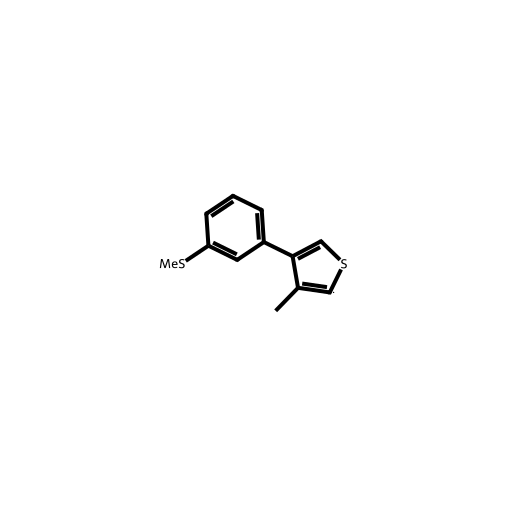 CSc1cccc(-c2cs[c]c2C)c1